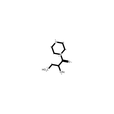 CC(=O)OC(CC(=O)O)C(=O)N1CCOCC1